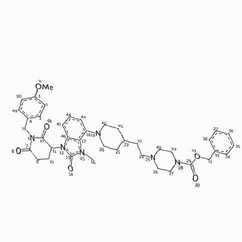 COc1ccc(CN2C(=O)CCC(n3c(=O)n(C)c4c(N5CCC(CCN6CCN(C(=O)OCc7ccccc7)CC6)CC5)cccc43)C2=O)cc1